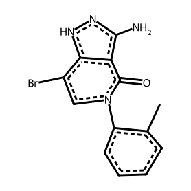 Cc1ccccc1-n1cc(Br)c2[nH]nc(N)c2c1=O